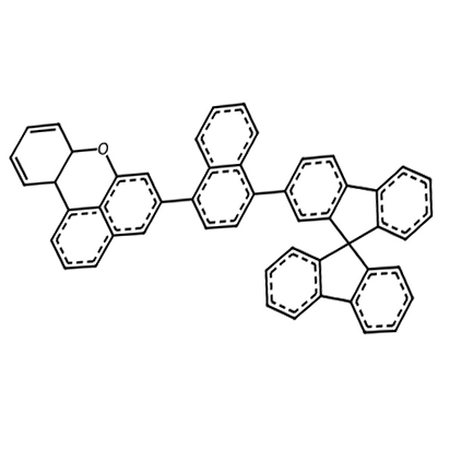 C1=CC2Oc3cc(-c4ccc(-c5ccc6c(c5)C5(c7ccccc7-c7ccccc75)c5ccccc5-6)c5ccccc45)cc4cccc(c34)C2C=C1